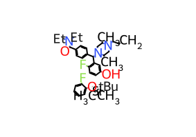 C=CCN1CC(C)N(C(c2ccc(C(=O)N(CC)CC)cc2)c2cc(O)ccc2F)CC1C.CC(C)(C)[Si](C)(C)Oc1ccccc1F